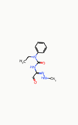 CCN(C(=O)NC([C]=O)=NNC)c1ccccc1